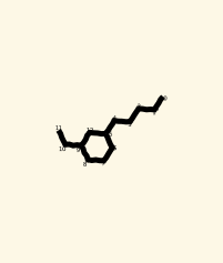 C[CH]CCCC1CCCC(CC)C1